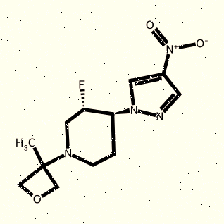 CC1(N2CC[C@H](n3cc([N+](=O)[O-])cn3)[C@@H](F)C2)COC1